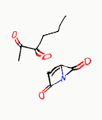 CCCC(=O)C(C)=O.O=C1C=C2C(=O)N12